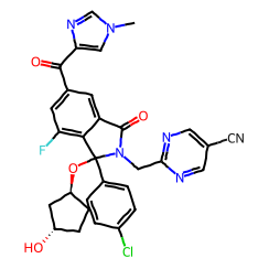 Cn1cnc(C(=O)c2cc(F)c3c(c2)C(=O)N(Cc2ncc(C#N)cn2)C3(O[C@H]2CC[C@H](O)C2)c2ccc(Cl)cc2)c1